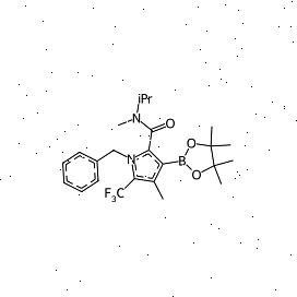 Cc1c(B2OC(C)(C)C(C)(C)O2)c(C(=O)N(C)C(C)C)n(Cc2ccccc2)c1C(F)(F)F